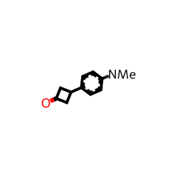 CNc1ccc(C2CC(=O)C2)cc1